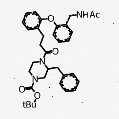 CC(=O)NCc1ccccc1Oc1ccccc1CCC(=O)N1CCN(C(=O)OC(C)(C)C)CC1Cc1ccccc1